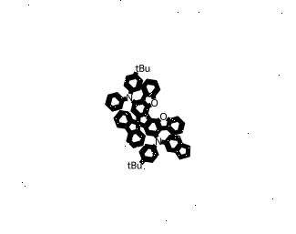 CC(C)(C)c1ccc(N(c2ccccc2)c2cc3c(c4oc5ccccc5c24)-c2c(cc(N(c4ccc(C(C)(C)C)cc4)c4ccc5c(c4)CCC5)c4c2oc2ccccc24)C32c3ccccc3-c3ccccc32)cc1